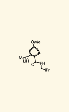 COc1ccc(C(=O)PCC(C)C)c(OC)c1.[LiH]